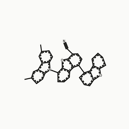 Cc1ccc2c(c1)c1cc(C)ccc1n2-c1cccc2c1oc1c(C#N)ccc(-c3cccc4oc5ccccc5c34)c12